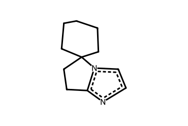 c1cn2c(n1)CCC21CCCCC1